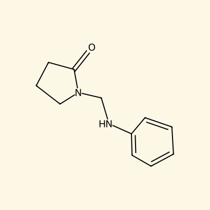 O=C1CCCN1CNc1ccccc1